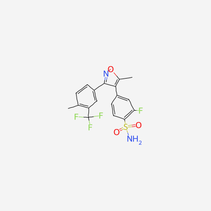 Cc1ccc(-c2noc(C)c2-c2ccc(S(N)(=O)=O)c(F)c2)cc1C(F)(F)F